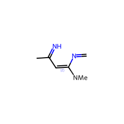 C=N/C(=C\C(C)=N)NC